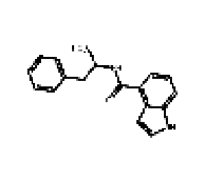 O=C(N[C@@H](Cc1ccccc1)C(=O)O)c1cccc2[nH]ccc12